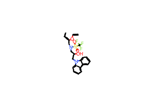 C=CO/C(=C\C)CN(CC(O)Cn1c2ccccc2c2ccccc21)S(=O)(=O)C(F)(F)F